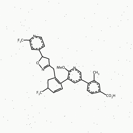 COc1ncc(-c2ccc(C(=O)O)cc2C)cc1C1=C(CC2=NOC(c3ccnc(C(F)(F)F)c3)C2)CC(C(F)(F)F)C=C1